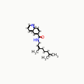 CC(=CCNC(=O)c1ccc2ncccc2c1)CCCC(C)C